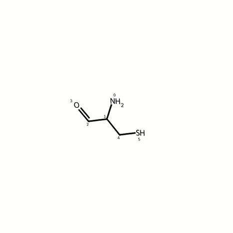 NC(C=O)CS